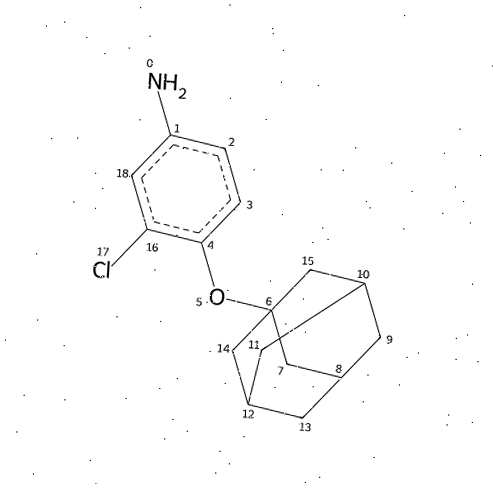 Nc1ccc(OC23CC4CC(CC(C4)C2)C3)c(Cl)c1